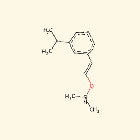 CC(C)c1cccc(C=CO[SiH](C)C)c1